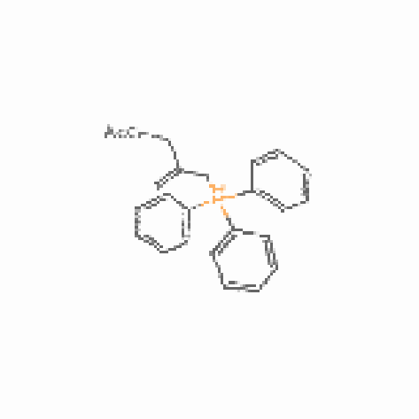 C=C(COC(C)=O)C[PH](c1ccccc1)(c1ccccc1)c1ccccc1